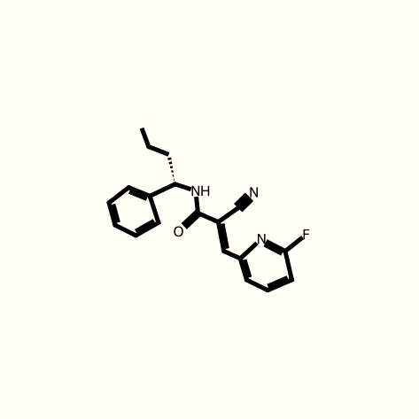 CCC[C@H](NC(=O)/C(C#N)=C/c1cccc(F)n1)c1ccccc1